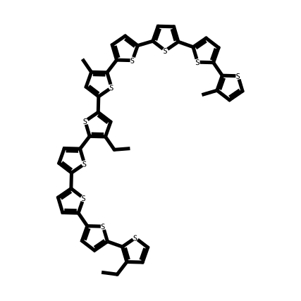 CCc1ccsc1-c1ccc(-c2ccc(-c3ccc(-c4sc(-c5cc(C)c(-c6ccc(-c7ccc(-c8ccc(-c9sccc9C)s8)s7)s6)s5)cc4CC)s3)s2)s1